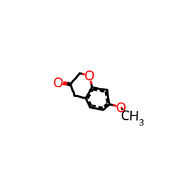 COc1ccc2c(c1)OCC(=O)C2